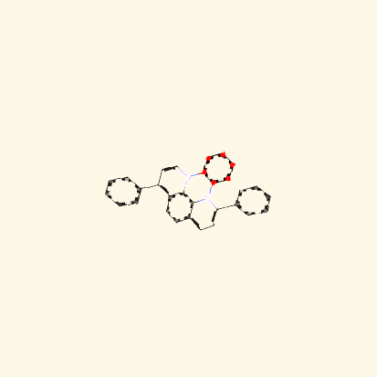 C1=CN(c2ccccc2)c2c3c(ccc2=C1c1ccccc1)=CC=C(c1ccccc1)N3c1ccccc1